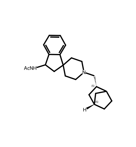 CC(=O)NC1CC2(CCN(C[C@H]3C[C@H]4CCC3C4)CC2)c2ccccc21